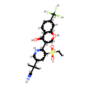 CCS(=O)(=O)c1cc(C(C)(C)C#N)cnc1-c1coc2cc(C(F)(F)F)ccc2c1=O